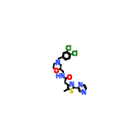 Cc1sc(-c2cnccn2)nc1CC(=O)NCC1CN(Cc2ccc(Cl)c(Cl)c2)CCO1